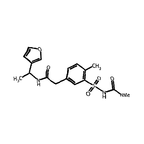 CNC(=O)NS(=O)(=O)c1cc(CC(=O)NC(C)c2ccoc2)ccc1C